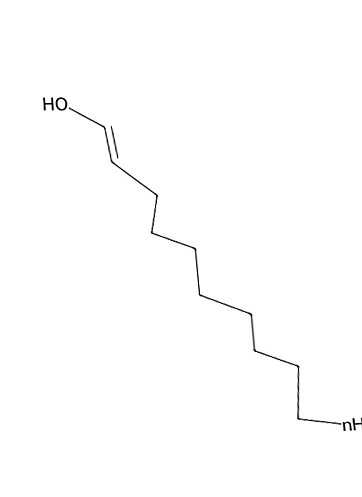 CCCCCCCCCCCCCCC/C=C/O